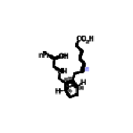 CCCC(O)CNC[C@H]1[C@@H](C/C=C\CCCC(=O)O)[C@H]2CC[C@@H]1O2